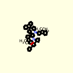 CC1(C)c2ccccc2-c2ccc(N(c3cccc(N(c4ccccc4-c4ccc(-c5ccccc5)cc4)c4cccc5c4-c4ccccc4C5(C)C)c3)c3cccc(C4(c5ccccc5)c5ccccc5-c5ccccc54)c3)cc21